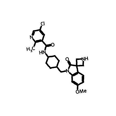 COc1ccc2c(c1)N(CC1CCC(NC(=O)c3cc(Cl)cnc3C)CC1)C(=O)C21CNC1